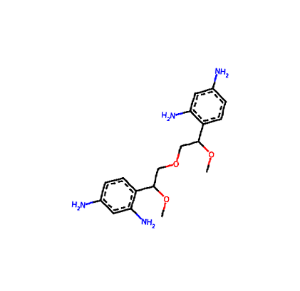 COC(COCC(OC)c1ccc(N)cc1N)c1ccc(N)cc1N